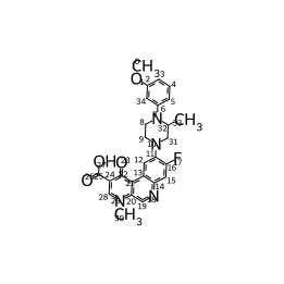 COc1cccc(N2CCN(c3cc4c(cc3F)ncc3c4c(=O)c(C(=O)O)cn3C)CC2C)c1